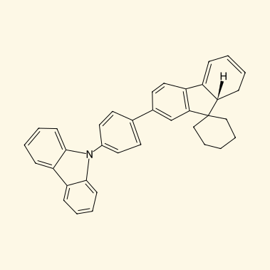 C1=CC[C@H]2C(=C1)c1ccc(-c3ccc(-n4c5ccccc5c5ccccc54)cc3)cc1C21CCCCC1